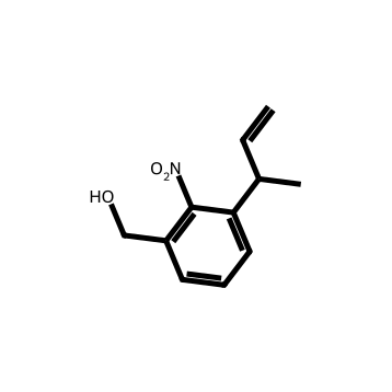 C=C[C](C)c1cccc(CO)c1[N+](=O)[O-]